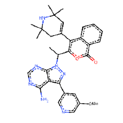 COc1cncc(-c2nn(C(C)c3oc(=O)c4ccccc4c3C3=CC(C)(C)NC(C)(C)C3)c3ncnc(N)c23)c1